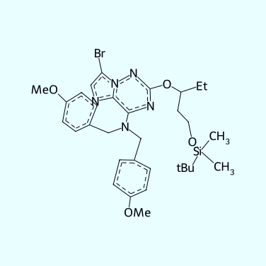 CCC(CCO[Si](C)(C)C(C)(C)C)Oc1nc(N(Cc2ccc(OC)cc2)Cc2ccc(OC)cc2)c2ncc(Br)n2n1